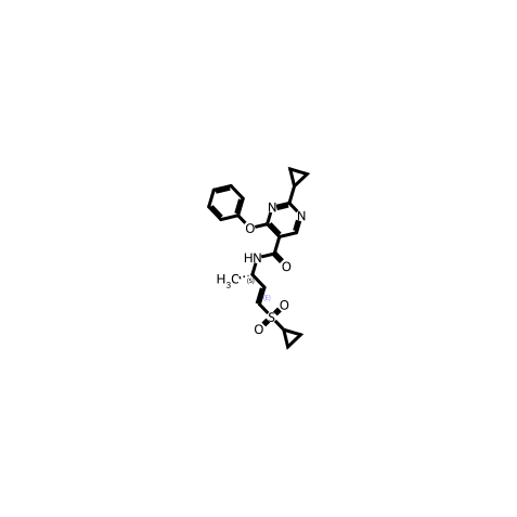 C[C@@H](/C=C/S(=O)(=O)C1CC1)NC(=O)c1cnc(C2CC2)nc1Oc1ccccc1